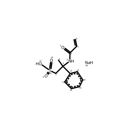 C=CC(=O)NC(C)(CS(=O)(=O)O)c1ccccc1.[NaH]